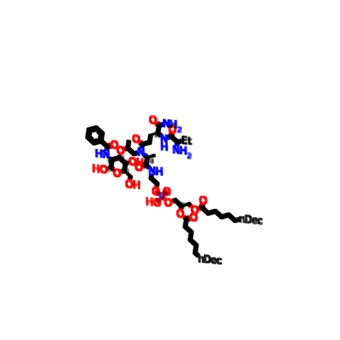 CCCCCCCCCCCCCCCC(=O)OC[C@H](COP(=O)(O)OCCNC(=O)[C@H](C)N(CC(C)O[C@H]1[C@H](O)[C@@H](CO)O[C@H](O)[C@@H]1NC(=O)c1ccccc1)C(=O)CC[C@@H](NC(=O)C(N)CC)C(N)=O)OC(=O)CCCCCCCCCCCCCCC